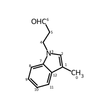 Cc1cn(CCC=O)c2ccccc12